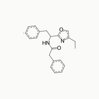 CCc1coc(C(Cc2cc[c]cc2)NC(=O)Cc2ccccc2)n1